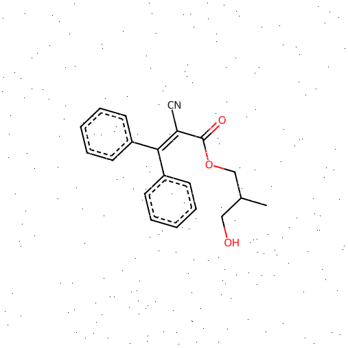 CC(CO)COC(=O)C(C#N)=C(c1ccccc1)c1ccccc1